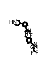 Fc1cc(-c2nnc(C(F)F)o2)ccc1Cn1cc(-c2cccc(C3CCNCC3)c2)nn1